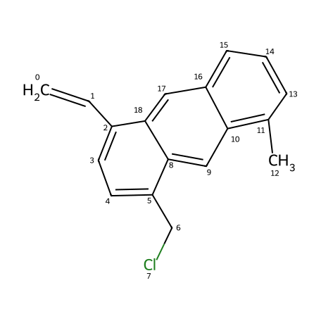 C=Cc1ccc(CCl)c2cc3c(C)cccc3cc12